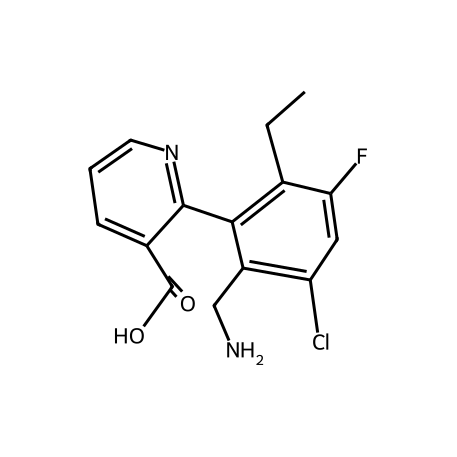 CCc1c(F)cc(Cl)c(CN)c1-c1ncccc1C(=O)O